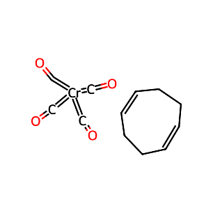 C1=CCCC=CCC1.O=[C]=[Cr](=[C]=O)(=[C]=O)=[C]=O